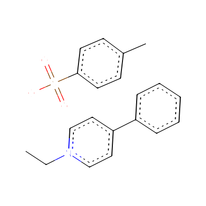 CC[n+]1ccc(-c2ccccc2)cc1.Cc1ccc(S(=O)(=O)[O-])cc1